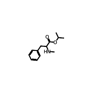 CNC(Cc1ccccc1)C(=O)OC(C)C